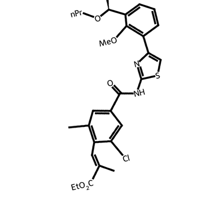 CCCO[C@H](c1cccc(-c2csc(NC(=O)c3cc(C)c(/C=C(\C)C(=O)OCC)c(Cl)c3)n2)c1OC)C(C)(C)C